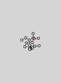 Cc1ccccc1-c1cccc2c1-c1cc3c(cc1C2(c1cc(-c2cccc(-c4ccccc4)c2)cc(-c2cccc(-c4ccccc4)c2)c1)c1cc(-c2cccc(-c4ccccc4)c2)cc(-c2cccc(-c4ccccc4)c2)c1)OCO3